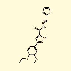 CCOc1ccc(-c2cc(C(=O)N/N=C/c3ccco3)[nH]n2)cc1OC